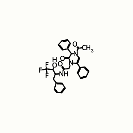 CC(=O)N1C=C(c2ccccc2)N(CC(=O)NC(Cc2ccccc2)C(O)C(F)(F)F)C(=O)C1c1ccccc1